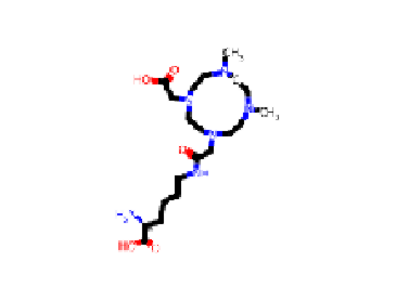 CN1CCN(C)CCN(CC(=O)NCCCC[C@H](N)C(=O)O)CCN(CC(=O)O)CC1